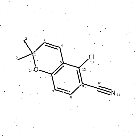 CC1(C)C=Cc2c(ccc(C#N)c2Cl)O1